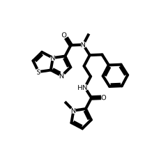 CN(C(=O)c1cnc2sccn12)C(CCNC(=O)c1cccn1C)Cc1ccccc1